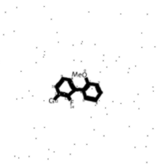 COc1[c]cccc1-c1cccc(Cl)c1F